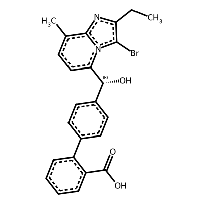 CCc1nc2c(C)ccc([C@H](O)c3ccc(-c4ccccc4C(=O)O)cc3)n2c1Br